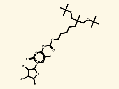 CC1OC(n2cc(F)c(NC(=O)OCCCCCC(C)(COC(C)(C)C)COC(C)(C)C)nc2=O)C(O)C1O